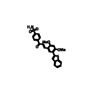 COc1cc(OC)c(-c2cc3ccccc3s2)cc1/C=C/C(=O)c1ccc(S(N)(=O)=O)cc1